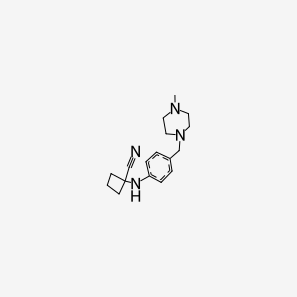 CN1CCN(Cc2ccc(NC3(C#N)CCC3)cc2)CC1